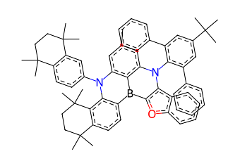 Cc1cc2c3c(c1)N(c1c(-c4ccccc4)cc(C(C)(C)C)cc1-c1ccccc1)c1c(oc4ccccc14)B3c1ccc3c(c1N2c1ccc2c(c1)C(C)(C)CCC2(C)C)C(C)(C)CCC3(C)C